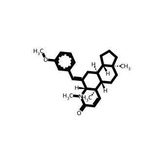 COc1cccc(/C=C2\C[C@H]3[C@@H]4CCC[C@@]4(C)CC[C@@H]3[C@@]3(C)C=CC(=O)N(C)[C@H]23)c1